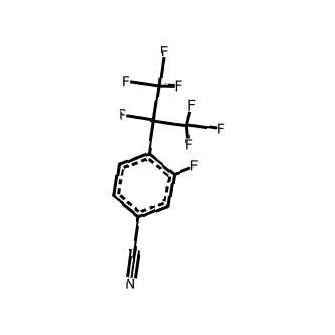 N#Cc1ccc(C(F)(C(F)(F)F)C(F)(F)F)c(F)c1